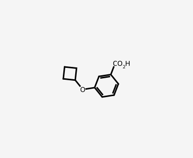 O=C(O)c1cccc(OC2CCC2)c1